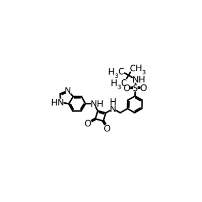 CC(C)(C)NS(=O)(=O)c1cccc(CNc2c(Nc3ccc4[nH]cnc4c3)c(=O)c2=O)c1